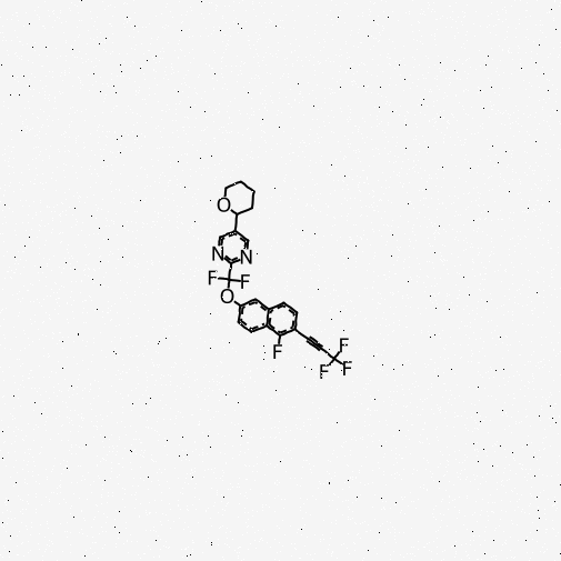 Fc1c(C#CC(F)(F)F)ccc2cc(OC(F)(F)c3ncc(C4CCCCO4)cn3)ccc12